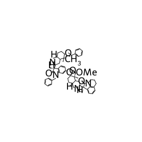 COC(=O)[C@@]12C[C@@]13C[C@@H]1N(CC[C@@]14C(=O)N1CCCc5cccc4c51)C[C@@H]3CC[C@@H]2Oc1ccc2c(c1)N(Cc1ccccc1)C(=O)[C@@]21CCN2C[C@@H]3CC[C@H](OCc4ccccc4)[C@]4(C)C[C@]34C[C@H]21